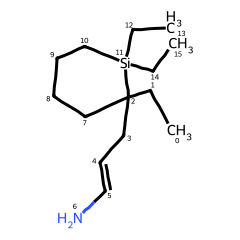 CCC1(CC=CN)CCCC[Si]1(CC)CC